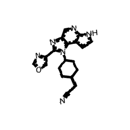 N#CCC1CCC(n2c(-c3cocn3)nc3cnc4[nH]ccc4c32)CC1